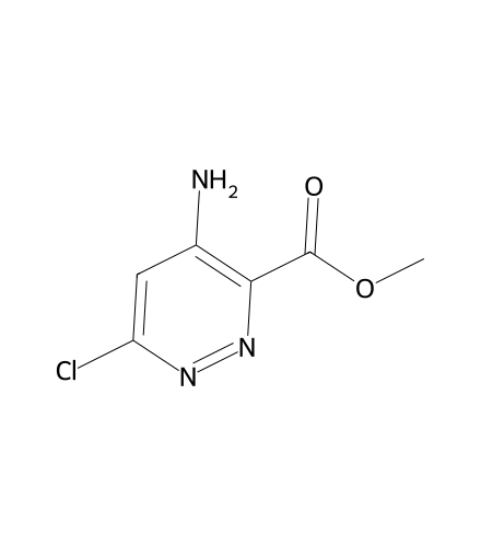 COC(=O)c1nnc(Cl)cc1N